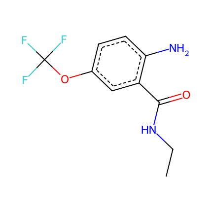 CCNC(=O)c1cc(OC(F)(F)F)ccc1N